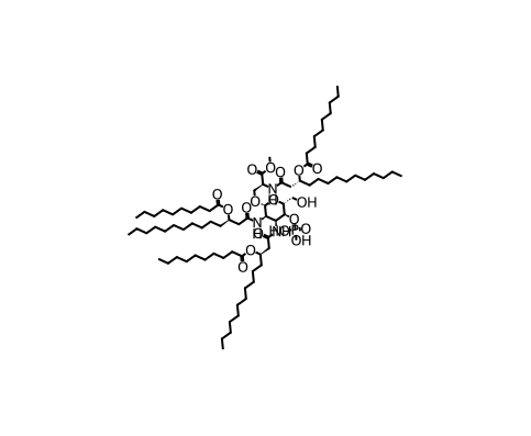 CCCCCCCCCCC[C@H](CC(=O)N[C@H]1[C@H](OC[C@H](NC(=O)C[C@@H](CCCCCCCCCCC)OC(=O)CCCCCCCCC)C(=O)OC)O[C@H](CO)[C@@H](OP(=O)(O)O)[C@H]1NC(=O)C[C@@H](CCCCCCCCCCC)OC(=O)CCCCCCCCC)OC(=O)CCCCCCCCC